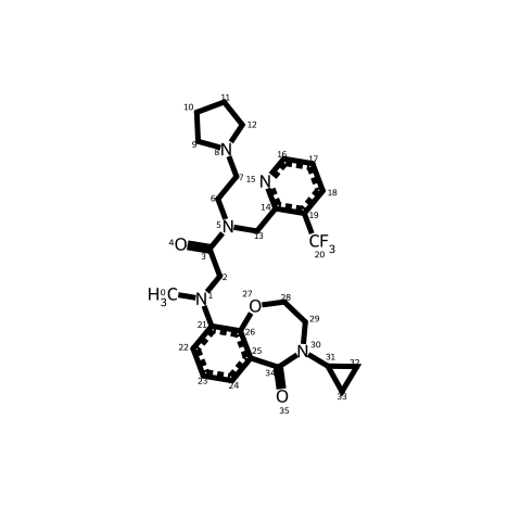 CN(CC(=O)N(CCN1CCCC1)Cc1ncccc1C(F)(F)F)c1cccc2c1OCCN(C1CC1)C2=O